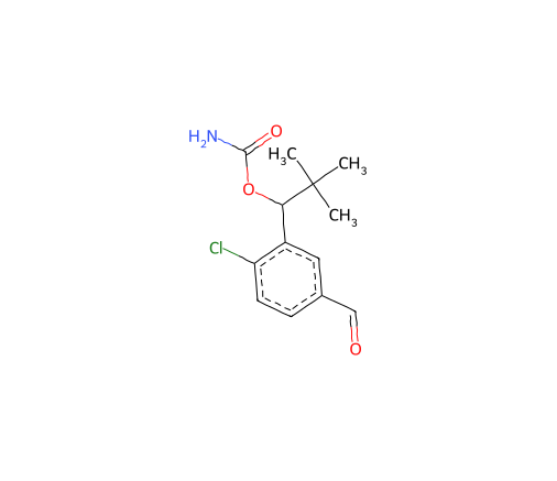 CC(C)(C)C(OC(N)=O)c1cc(C=O)ccc1Cl